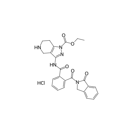 CCOC(=O)n1nc(NC(=O)c2ccccc2C(=O)N2Cc3ccccc3C2=O)c2c1CCNC2.Cl